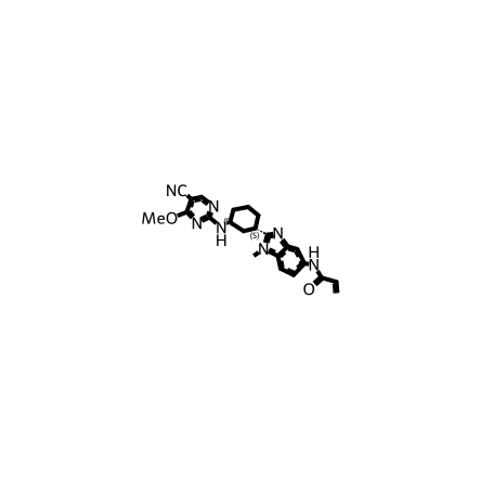 C=CC(=O)Nc1ccc2c(c1)nc([C@H]1CCC[C@@H](Nc3ncc(C#N)c(OC)n3)C1)n2C